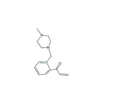 C=CC(=O)c1ccccc1CN1CCN(C)CC1